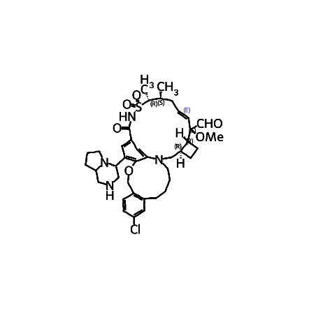 CO[C@]1(C=O)/C=C/C[C@H](C)[C@@H](C)S(=O)(=O)NC(=O)c2cc(C3CNCC4CCCN43)c3c(c2)N(CCCCc2cc(Cl)ccc2CO3)C[C@@H]2CC[C@H]21